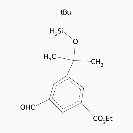 CCOC(=O)c1cc(C=O)cc(C(C)(C)O[SiH2]C(C)(C)C)c1